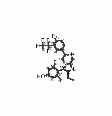 CCc1nc2cnc(-c3ccc(F)c(C(F)(F)C(F)(F)F)c3)cn2c1-c1c(F)cc(O)cc1F